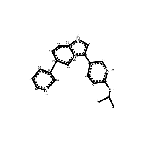 CC(C)Sc1ccc(-c2cnc3ccc(-c4cccnc4)cn23)cn1